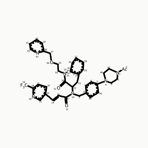 CC(=O)N1CCN(c2ccc(CN(C(=O)C=Cc3ccc(C(F)(F)F)nc3)C(Cc3ccccc3)C(=O)N(C)CCOCc3ccccn3)cc2)CC1